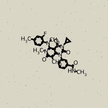 CNC(=O)c1cccc(-n2c(=O)n(C3CC3)c(=O)c3c(N(C)c4ccc(C)cc4F)n(C)c(=O)c(C)c32)c1